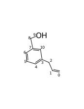 C=CCc1cccc(CO)c1